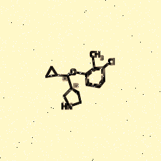 Cc1c(Cl)cccc1O[C@H](C1CC1)[C@H]1CCNC1